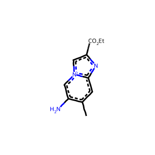 CCOC(=O)c1cn2cc(N)c(C)cc2n1